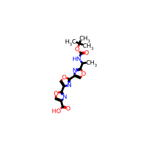 CC(NC(=O)OC(C)(C)C)c1nc(-c2nc(-c3nc(C(=O)O)co3)co2)co1